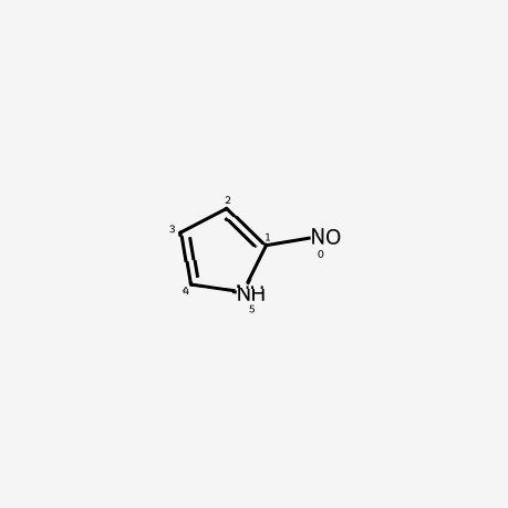 O=Nc1ccc[nH]1